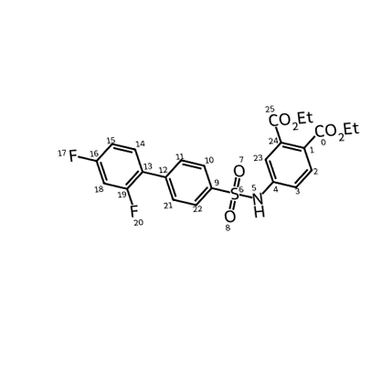 CCOC(=O)c1ccc(NS(=O)(=O)c2ccc(-c3ccc(F)cc3F)cc2)cc1C(=O)OCC